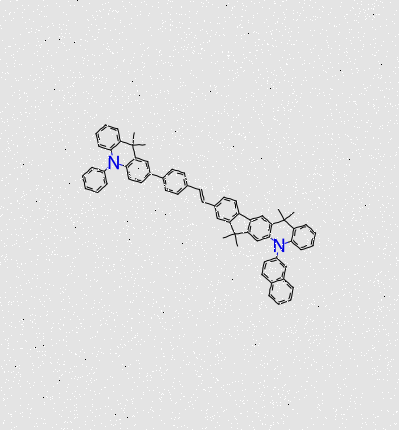 CC1(C)c2cc(/C=C/c3ccc(-c4ccc5c(c4)C(C)(C)c4ccccc4N5c4ccccc4)cc3)ccc2-c2cc3c(cc21)N(c1ccc2ccccc2c1)c1ccccc1C3(C)C